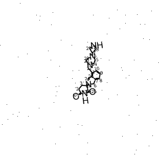 O=C1CCC(N2Cc3cccc(CN4CCN(C5CNC5)CC4)c3C2)C(=O)N1